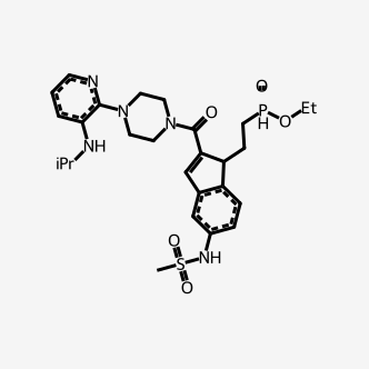 CCO[PH](=O)CCC1C(C(=O)N2CCN(c3ncccc3NC(C)C)CC2)=Cc2cc(NS(C)(=O)=O)ccc21